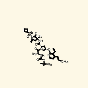 C=CC[C@@](CC)(NC(=O)[C@@H]1C[C@@H](Oc2nccc(/C=C/OC)c2C=C)CN1C(=O)[C@@H](NC(=O)OC(C)(C)CCCC)C(C)C)C(=O)NS(=O)(=O)C1CCC1